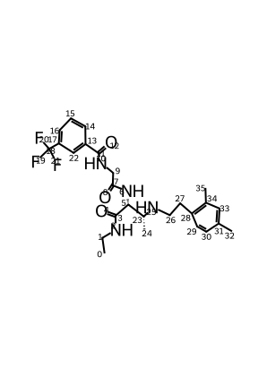 CCNC(=O)[C@H](NC(=O)CNC(=O)c1cccc(C(F)(F)F)c1)[C@@H](C)NCCc1ccc(C)cc1C